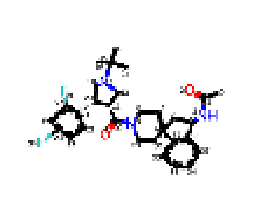 CC(=O)NC1CC2(CCN(C(=O)[C@@H]3CN(C(C)(C)C)C[C@H]3c3ccc(F)cc3F)CC2)c2ccccc21